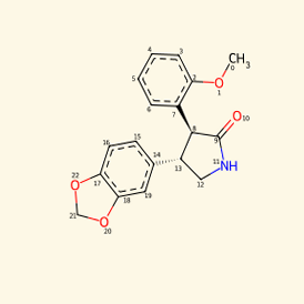 COc1ccccc1[C@H]1C(=O)NC[C@@H]1c1ccc2c(c1)OCO2